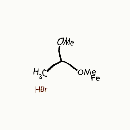 Br.COC(C)OC.[Fe]